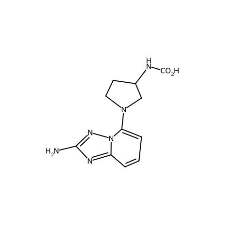 Nc1nc2cccc(N3CCC(NC(=O)O)C3)n2n1